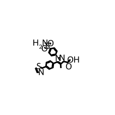 Cc1c(C(=O)O)nn(-c2ccc(S(N)(=O)=O)cc2)c1-c1ccc(-c2nccs2)cc1